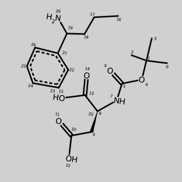 CC(C)(C)OC(=O)N[C@@H](CC(=O)O)C(=O)O.CCCC(N)c1ccccc1